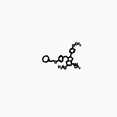 CNc1cc(OC)cc2c1CC(c1ccc(OC)cc1)C2Cc1ccc(OCCN2CCCCCC2)cc1